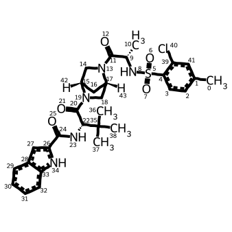 Cc1ccc(S(=O)(=O)N[C@@H](C)C(=O)N2C[C@@H]3C[C@H]2CN3C(=O)[C@@H](NC(=O)c2cc3ccccc3[nH]2)C(C)(C)C)c(Cl)c1